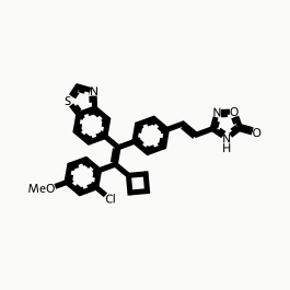 COc1ccc(/C(=C(/c2ccc(C=Cc3noc(=O)[nH]3)cc2)c2ccc3scnc3c2)C2CCC2)c(Cl)c1